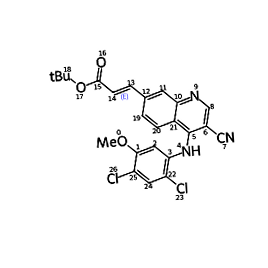 COc1cc(Nc2c(C#N)cnc3cc(/C=C/C(=O)OC(C)(C)C)ccc23)c(Cl)cc1Cl